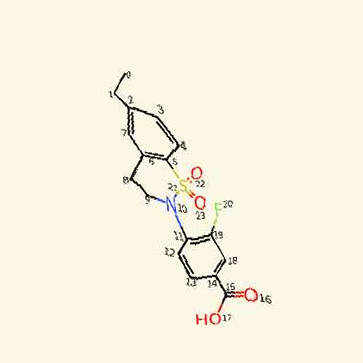 CCc1ccc2c(c1)CCN(c1ccc(C(=O)O)cc1F)S2(=O)=O